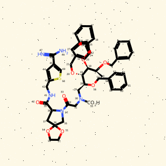 C[C@H](OCc1ccccc1)[C@H](OCc1ccccc1)[C@@H](OCc1ccccc1)[C@H](CN(CC(=O)N1CC2(CC1C(=O)NCc1cc(C(=N)N)cs1)OCCO2)C(=O)O)OCc1ccccc1